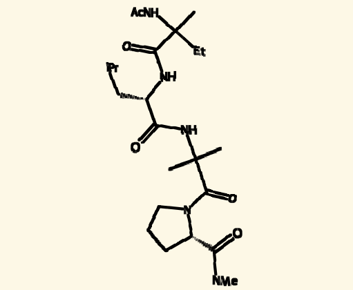 CCC(C)(NC(C)=O)C(=O)N[C@@H](CC(C)C)C(=O)NC(C)(C)C(=O)N1CCC[C@H]1C(=O)NC